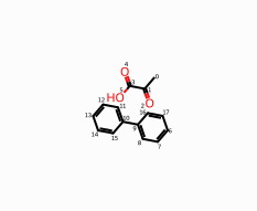 CC(=O)C(=O)O.c1ccc(-c2ccccc2)cc1